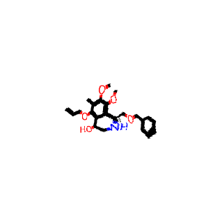 C=CCOc1c(C)c(OC)c(OC)c2c1C(O)CN[C@@H]2COCc1ccccc1